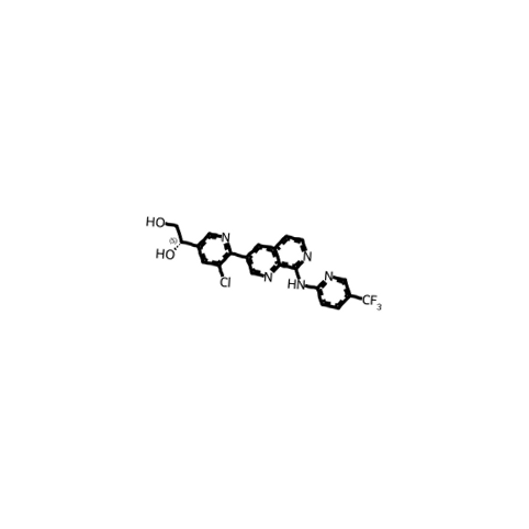 OC[C@@H](O)c1cnc(-c2cnc3c(Nc4ccc(C(F)(F)F)cn4)nccc3c2)c(Cl)c1